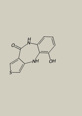 O=C1Nc2cccc(O)c2Nc2cscc21